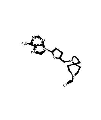 Nc1ncnc2c1ncn2C1CCC(CN2CCCC23CCN(C=O)CC3)O1